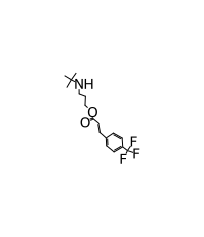 CC(C)(C)NCCCOC(=O)/C=C/c1ccc(C(F)(F)F)cc1